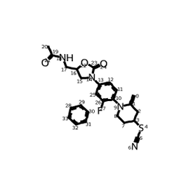 C=C1CC(SC#N)CCN1c1ccc(N2CC(CNC(C)=O)OC2=O)cc1F.c1ccccc1